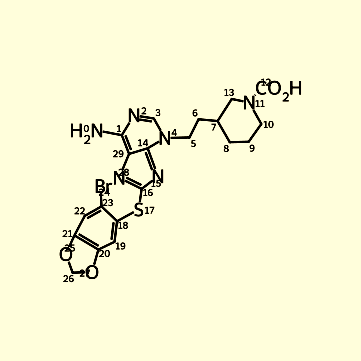 Nc1ncn(CCC2CCCN(C(=O)O)C2)c2nc(Sc3cc4c(cc3Br)OCO4)nc1-2